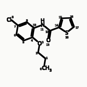 CCCOc1ccc(Cl)cc1NC(=O)c1cccs1